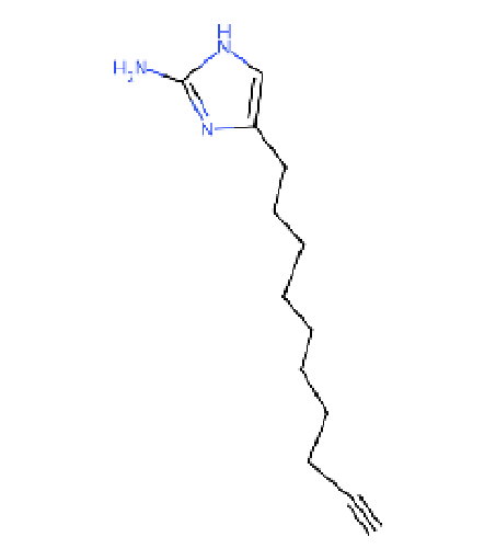 C#CCCCCCCCCc1c[nH]c(N)n1